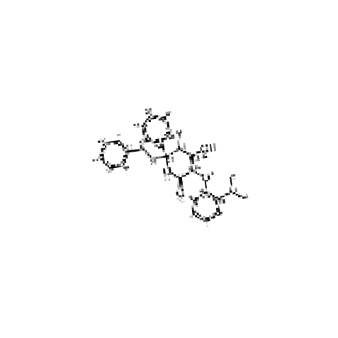 CC(C)c1ccccc1OC1=C(O)C(C)C(CCc2ccccc2)(c2ccccc2)OC1=O